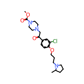 COC(=O)N1CCN(CC(=O)c2ccc(OCCCN3CCCC3C)c(Cl)c2)CC1